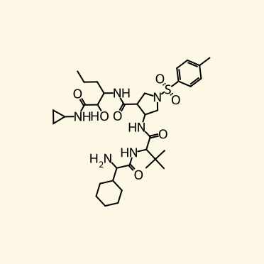 CCCC(NC(=O)C1CN(S(=O)(=O)c2ccc(C)cc2)CC1NC(=O)C(NC(=O)C(N)C1CCCCC1)C(C)(C)C)C(O)C(=O)NC1CC1